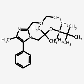 CCOCc1nc(C)c(-c2ccccc2)n1CC(C)(C)O[Si](C)(C)C(C)(C)C